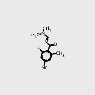 Cc1cc(Br)cc(F)c1C(=O)/N=C/N(C)C